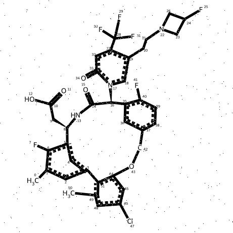 Cc1cc2cc(c1F)[C@@H](CC(=O)O)NC(=O)[C@@H](n1cc(CCN3CC(F)C3)c(C(F)(F)F)cc1=O)c1cc(ccc1F)COc1cc(Cl)cc(C)c1-2